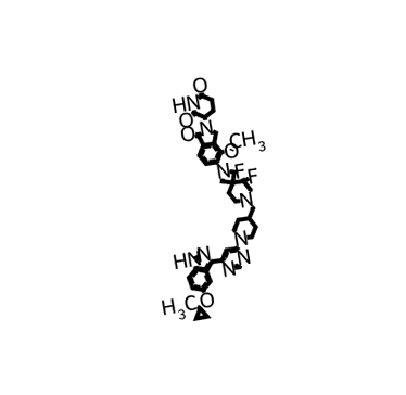 COc1c(N2CC3(CCN(CC4CCN(c5cc(-c6n[nH]c7ccc(OC8(C)CC8)cc67)ncn5)CC4)CC3(F)F)C2)ccc2c1CN(C1CCC(=O)NC1=O)C2=O